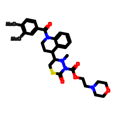 COc1ccc(C(=O)N2CCC(C3CSC(=O)N(C(=O)OCCN4CCOCC4)N3C)c3ccccc32)cc1OC